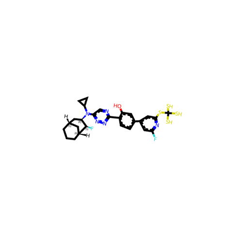 Oc1cc(-c2cc(F)nc(SC(S)(S)S)c2)ccc1-c1ncc(N(C2CC2)[C@@H]2C[C@H]3CCC[C@H](C3)[C@@H]2F)nn1